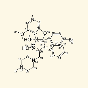 COc1cncc2c1[C@]1(O)[C@H](O)[C@H](CN3CCN(C)CC3)[C@@H](c3ccccc3)[C@]1(c1ccc(Br)cc1)O2